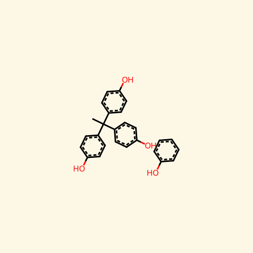 CC(c1ccc(O)cc1)(c1ccc(O)cc1)c1ccc(O)cc1.Oc1ccccc1